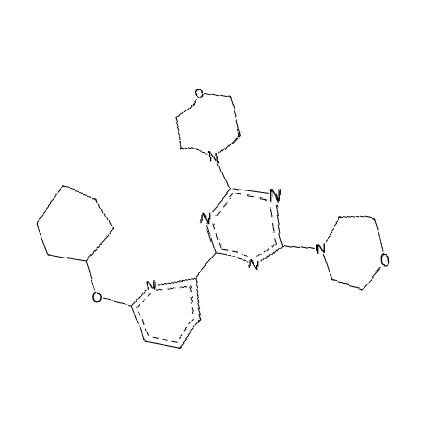 c1cc(OC2CCCCC2)nc(-c2nc(N3CCOCC3)nc(N3CCOCC3)n2)c1